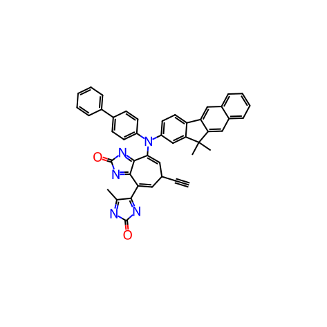 C#CC1C=C(C2=NC(=O)N=C2C)C2=NC(=O)N=C2C(N(c2ccc(-c3ccccc3)cc2)c2ccc3c(c2)C(C)(C)c2cc4ccccc4cc2-3)=C1